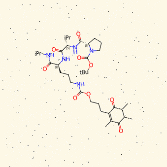 CC1=C(CCCOC(=O)NCCC[C@H](NC(=O)[C@@H](NC(=O)[C@@H]2CCCN2C(=O)OC(C)(C)C)C(C)C)C(=O)NC(C)C)C(=O)C(C)C(C)C1=O